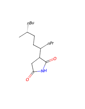 CCCC[C@@H](C)CCC(CCC)C1CC(=O)NC1=O